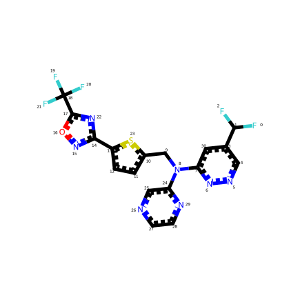 FC(F)c1cnnc(N(Cc2ccc(-c3noc(C(F)(F)F)n3)s2)c2cnccn2)c1